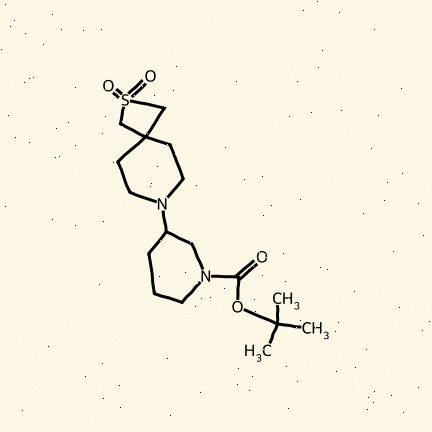 CC(C)(C)OC(=O)N1CCCC(N2CCC3(CC2)CS(=O)(=O)C3)C1